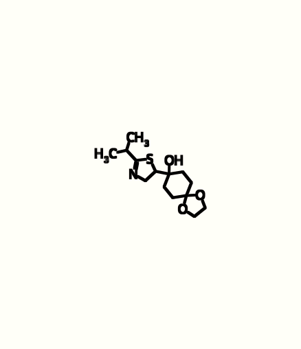 CC(C)C1=NCC(C2(O)CCC3(CC2)OCCO3)S1